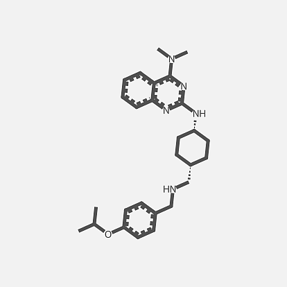 CC(C)Oc1ccc(CNC[C@H]2CC[C@@H](Nc3nc(N(C)C)c4ccccc4n3)CC2)cc1